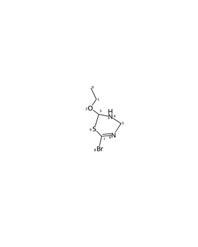 CCOC1NCN=C(Br)S1